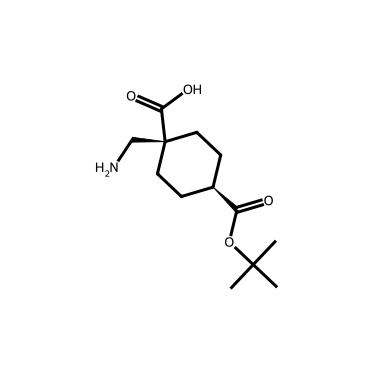 CC(C)(C)OC(=O)[C@H]1CC[C@](CN)(C(=O)O)CC1